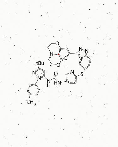 Cc1ccc(-n2nc(C(C)(C)C)cc2NC(=O)Nc2ccc(Sc3ccc4nnc(-c5cccc(OCCN6CCOCC6)c5)n4c3)nc2)cc1